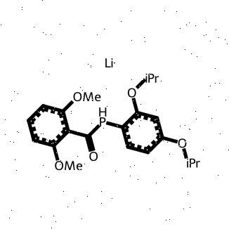 COc1cccc(OC)c1C(=O)Pc1ccc(OC(C)C)cc1OC(C)C.[Li]